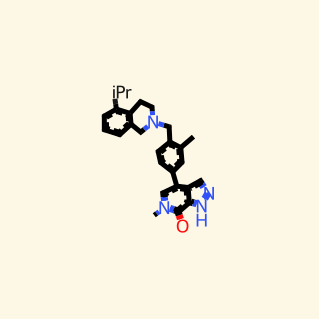 Cc1cc(-c2cn(C)c(=O)c3[nH]ncc23)ccc1CN1CCc2c(cccc2C(C)C)C1